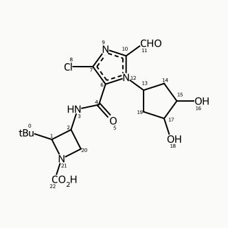 CC(C)(C)C1C(NC(=O)c2c(Cl)nc(C=O)n2C2CC(O)C(O)C2)CN1C(=O)O